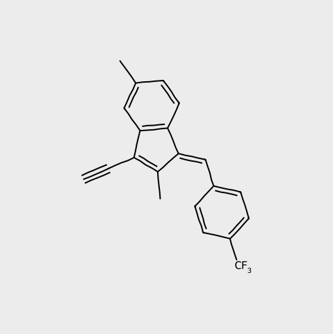 C#CC1=C(C)C(=Cc2ccc(C(F)(F)F)cc2)c2ccc(C)cc21